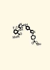 CNC(=O)c1ccccc1Nc1nc(Nc2ccc(-c3cnn(C4CCN(C(=O)OC(C)(C)C)CC4)c3)cc2)ncc1C(F)(F)F